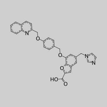 O=C(O)c1cc2cc(Cn3ccnc3)cc(OCc3ccc(OCc4ccc5ccccc5n4)cc3)c2o1